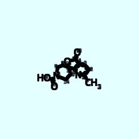 Cc1ccc2c(n1)C1(CCN(C(=O)O)CC1)OC2=O